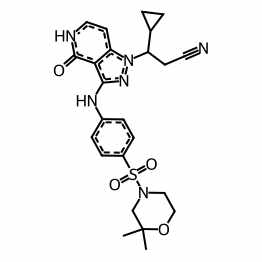 CC1(C)CN(S(=O)(=O)c2ccc(Nc3nn(C(CC#N)C4CC4)c4cc[nH]c(=O)c34)cc2)CCO1